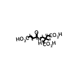 CC(CNC(=O)C=CC(=O)O)(CC(=O)O)CC(=O)O